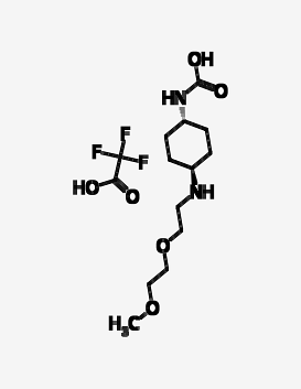 COCCOCCN[C@H]1CC[C@H](NC(=O)O)CC1.O=C(O)C(F)(F)F